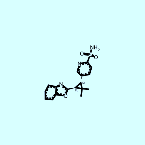 CC1(C)[C@@H](c2ccc(S(N)(=O)=O)nc2)[C@@H]1c1nc2ccccc2o1